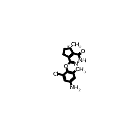 Cc1cc(N)cc(Cl)c1Oc1n[nH]c(=O)c2c1CC[C@@H]2C